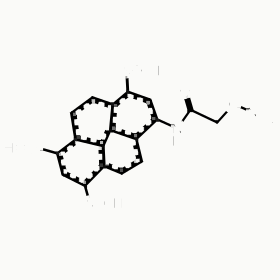 NOCC(=O)Nc1cc(S(=O)(=O)O)c2ccc3c(S(=O)(=O)O)cc(S(=O)(=O)O)c4ccc1c2c43